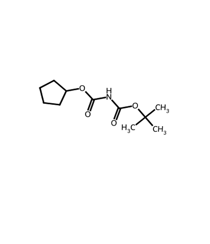 CC(C)(C)OC(=O)NC(=O)OC1CCCC1